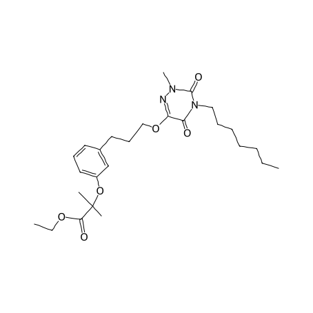 CCCCCCCn1c(=O)c(OCCCc2cccc(OC(C)(C)C(=O)OCC)c2)nn(C)c1=O